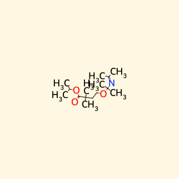 CC(C)=NC(C)(C)OCCC(C)(C)C(=O)OC(C)C